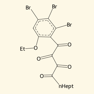 CCCCCCCC(=O)C(=O)C(=O)C(=O)c1c(OCC)cc(Br)c(Br)c1Br